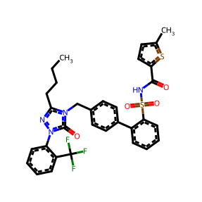 CCCCc1nn(-c2ccccc2C(F)(F)F)c(=O)n1Cc1ccc(-c2ccccc2S(=O)(=O)NC(=O)c2ccc(C)s2)cc1